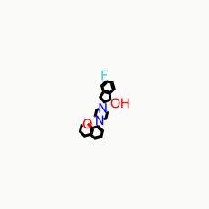 O[C@@H]1c2ccc(F)cc2C[C@H]1N1CCN(c2cccc3c2OCCC3)CC1